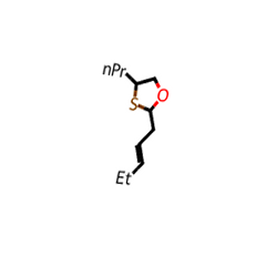 CCC=CCC1OCC(CCC)S1